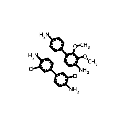 COc1c(N)ccc(-c2ccc(N)cc2)c1OC.Nc1ccc(-c2ccc(N)c(Cl)c2)cc1Cl